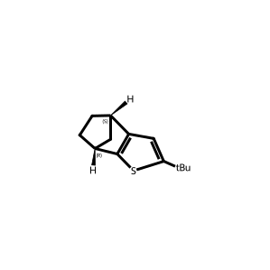 CC(C)(C)c1cc2c(s1)[C@@H]1CC[C@H]2C1